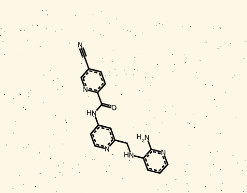 N#Cc1ccc(C(=O)Nc2ccnc(CNc3cccnc3N)c2)nc1